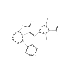 Cc1[nH]c(C=C2C(=O)Nc3cccc(-c4ccncc4)c32)c(C)c1C(=O)O